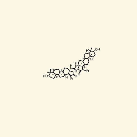 CC(C)C1=C2[C@H]3CC[C@@H]4[C@@]5(C)CC[C@H](O)C(C)(C)[C@@H]5CC[C@@]4(C)[C@]3(C)CC[C@@]2(NC(=O)N[C@@]23CC[C@]4(C)[C@H](CC[C@@H]5[C@@]6(C)CC[C@H](O)C(C)(C)[C@@H]6CC[C@]54C)C2=C(C(C)C)C(=O)C3)CC1=O